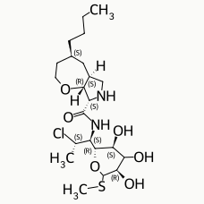 CCCC[C@@H]1CCO[C@@H]2[C@H](CN[C@@H]2C(=O)N[C@@H]([C@H]2OC(SC)[C@H](O)C(O)[C@@H]2O)[C@H](C)Cl)C1